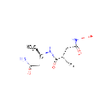 CC(CC(=O)NO)C(=O)N[C@@H](CC(N)=O)C(=O)O